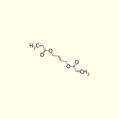 C=CC(=O)OCC=CCOC(=O)C=C